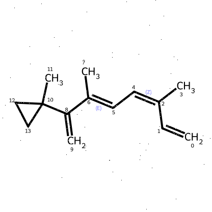 C=C/C(C)=C\C=C(/C)C(=C)C1(C)CC1